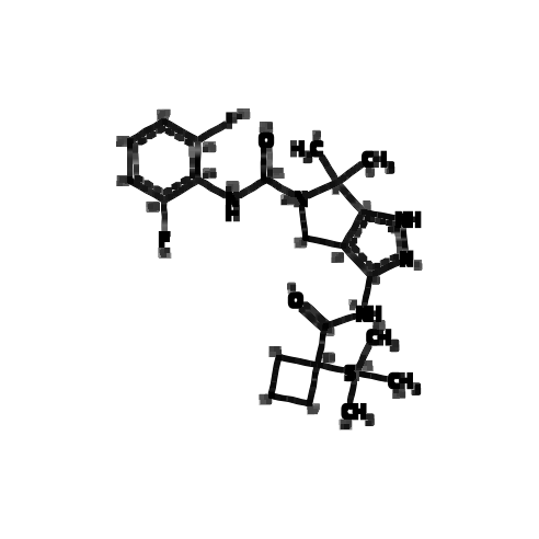 CC1(C)c2[nH]nc(NC(=O)C3([Si](C)(C)C)CCC3)c2CN1C(=O)Nc1c(F)cccc1F